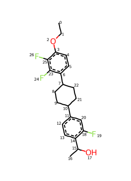 CCOc1ccc(C2CCC(c3ccc(C(C)O)c(F)c3)CC2)c(F)c1F